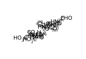 CC(CCC(=O)NC(Cc1ccccc1)C(=O)NC(Cc1ccccc1)C(=O)NCCNC(=O)CCC=O)NC(=O)CCC(NC(=O)NC(CCC(=O)O)C(=O)O)C(=O)O